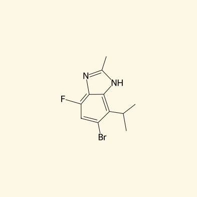 Cc1nc2c(F)cc(Br)c(C(C)C)c2[nH]1